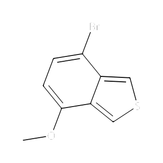 COc1ccc(Br)c2cscc12